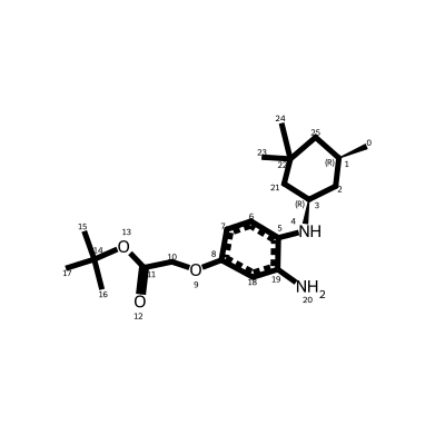 C[C@H]1C[C@@H](Nc2ccc(OCC(=O)OC(C)(C)C)cc2N)CC(C)(C)C1